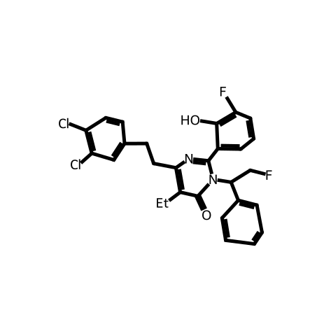 CCc1c(CCc2ccc(Cl)c(Cl)c2)nc(-c2cccc(F)c2O)n(C(CF)c2ccccc2)c1=O